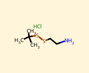 CC(C)(C)SSCCN.Cl